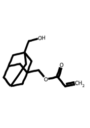 C=CC(=O)OCC12CC3CC(CC(CO)(C3)C1)C2